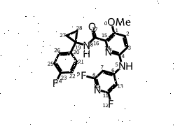 COc1ccc(Nc2cc(F)nc(F)c2)nc1C(=O)NC1(c2ccc(F)cc2)CC1